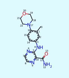 Cc1cc(Nc2nccnc2C(N)=O)ccc1N1CCOCC1